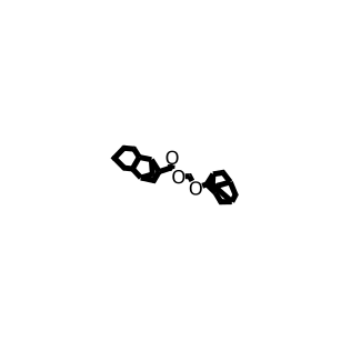 O=C(OCOC1C2CC3CC(C2)CC1C3)C1CC2CC1C1CCCCC21